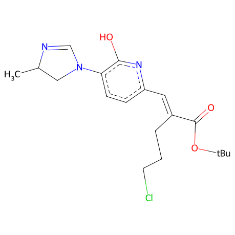 CC1CN(c2ccc(/C=C(\CCCCl)C(=O)OC(C)(C)C)nc2O)C=N1